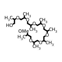 COC(C)COC(C)COC(C)COC(C)COC(C)COC(C)COC(C)COC(C)CO